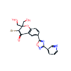 O=C1c2cc(-c3nc(-c4cccnc4)no3)ccc2OC(CO)(CO)C1Br